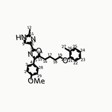 COc1ccc(-c2nc(-c3c[nH]c(C)n3)oc2CCCCOc2ccccc2C)cc1